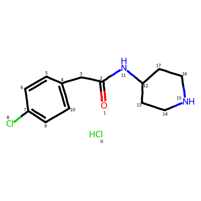 Cl.O=C(Cc1ccc(Cl)cc1)NC1CCNCC1